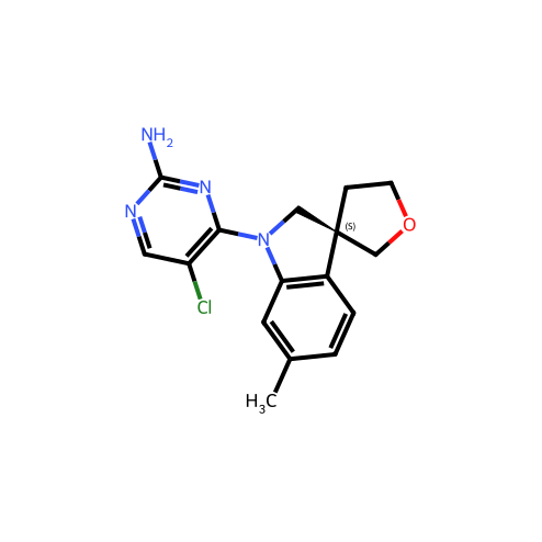 Cc1ccc2c(c1)N(c1nc(N)ncc1Cl)C[C@]21CCOC1